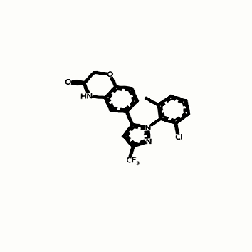 Cc1cccc(Cl)c1-n1nc(C(F)(F)F)cc1-c1ccc2c(c1)NC(=O)CO2